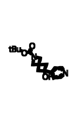 CC(C)(C)OC(=O)N1CC2(C1)CC(O)(c1ccncc1)C2